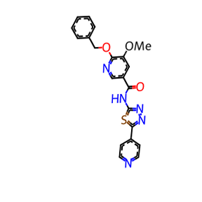 COc1cc(C(=O)Nc2nnc(-c3ccncc3)s2)cnc1OCc1ccccc1